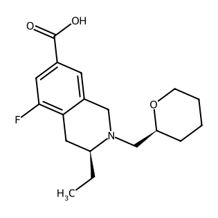 CC[C@H]1Cc2c(F)cc(C(=O)O)cc2CN1C[C@@H]1CCCCO1